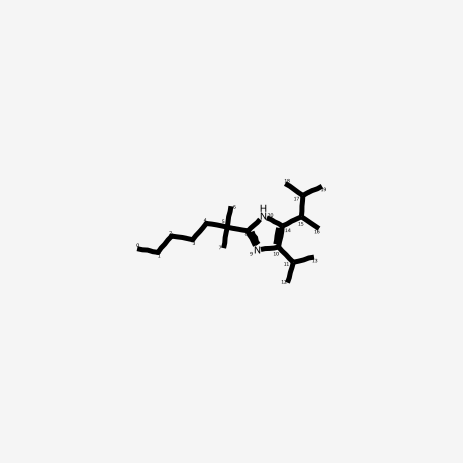 CCCCCC(C)(C)c1nc(C(C)C)c(C(C)C(C)C)[nH]1